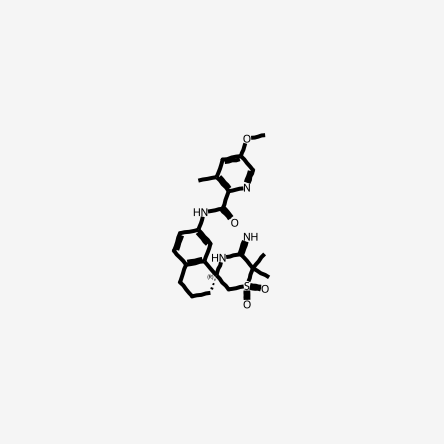 COc1cnc(C(=O)Nc2ccc3c(c2)[C@]2(CCC3)CS(=O)(=O)C(C)(C)C(=N)N2)c(C)c1